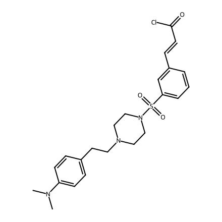 CN(C)c1ccc(CCN2CCN(S(=O)(=O)c3cccc(C=CC(=O)Cl)c3)CC2)cc1